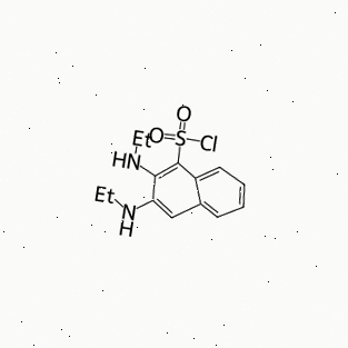 CCNc1cc2ccccc2c(S(=O)(=O)Cl)c1NCC